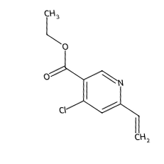 C=Cc1cc(Cl)c(C(=O)OCC)cn1